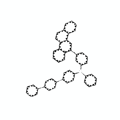 c1ccc(-c2ccc(-c3ccc(N(c4ccccc4)c4cccc(-c5cc6c7ccccc7ccc6c6ccccc56)c4)cc3)cc2)cc1